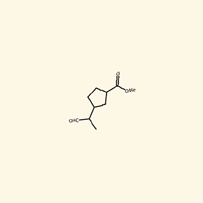 COC(=O)C1CCC(C(C)C=O)C1